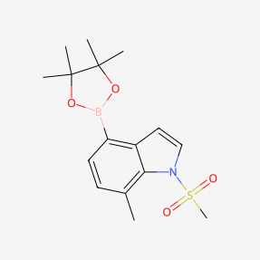 Cc1ccc(B2OC(C)(C)C(C)(C)O2)c2ccn(S(C)(=O)=O)c12